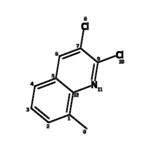 Cc1cccc2cc(Cl)c(Cl)nc12